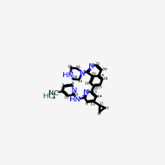 Cl.N#Cc1ccnc(Nc2cc(C3CC3)cc(-c3ccc4ccnc(N5CCNCC5)c4c3)n2)c1